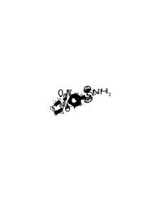 NS(=O)(=O)c1ccc([N+]([O-])([O-])N2CCSCC2)c([N+](=O)[O-])c1